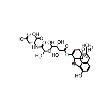 C[C@H](OC(O)[C@H](O)[C@@H](O)C(=O)OC1=CC[C@@]2(O)[C@H]3Cc4ccc(O)c5c4C2(CCN3C)[C@H]1O5)C(=O)N[C@@H](CC(=O)O)C(=O)O